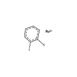 Ic1ccccc1I.[Ru+2]